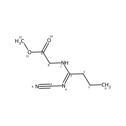 CCCC(=NC#N)NCC(=O)OC